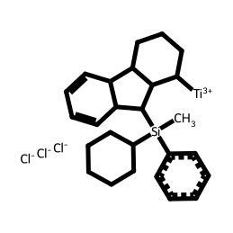 C[Si](c1ccccc1)(C1CCCCC1)C1C2C=CC=CC2C2CCC[CH]([Ti+3])C21.[Cl-].[Cl-].[Cl-]